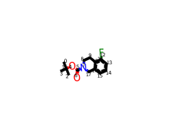 CC(C)(C)OC(=O)N1CCc2c(F)cccc2C1